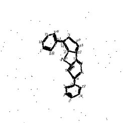 c1ccc(-c2ccc3c(c2)[N]c2c(-c4ccccc4)cccc2-3)cc1